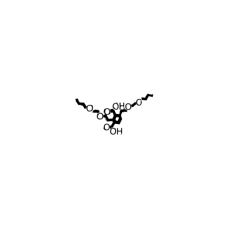 CCCCOCCOCCc1ccc(C(=O)O)c(CCOCCOCCCC)c1C(=O)O